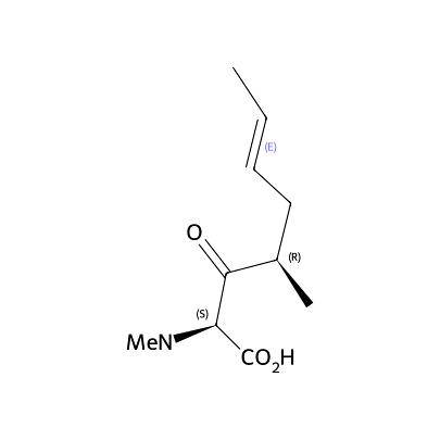 C/C=C/C[C@@H](C)C(=O)[C@H](NC)C(=O)O